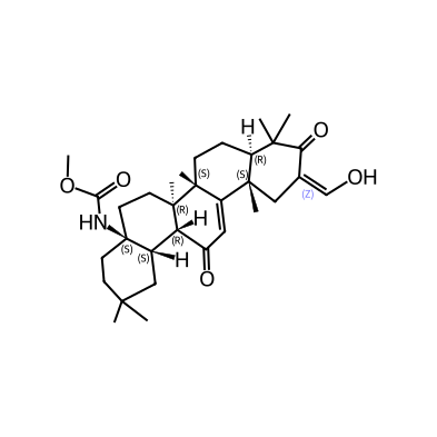 COC(=O)N[C@]12CCC(C)(C)C[C@H]1[C@H]1C(=O)C=C3[C@@]4(C)C/C(=C/O)C(=O)C(C)(C)[C@@H]4CC[C@@]3(C)[C@]1(C)CC2